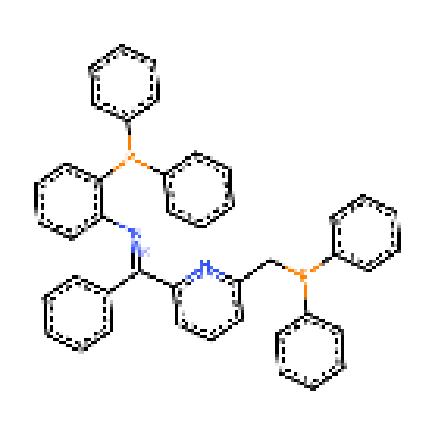 c1ccc(/C(=N\c2ccccc2P(c2ccccc2)c2ccccc2)c2cccc(CP(c3ccccc3)c3ccccc3)n2)cc1